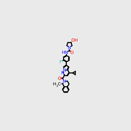 C[C@@H]1c2ccccc2CCN1C(=O)c1cc(C2CC2)c2cc(-c3ccc(NC(=O)N4CC[C@@H](O)C4)cc3F)cn2n1